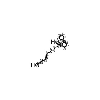 CC(C)(CCCCCCC#CCCCCO)[Si](O)(c1ccccc1)c1ccccc1